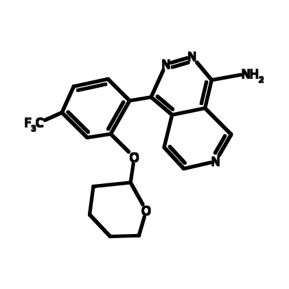 Nc1nnc(-c2ccc(C(F)(F)F)cc2OC2CCCCO2)c2ccncc12